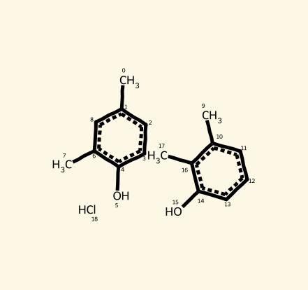 Cc1ccc(O)c(C)c1.Cc1cccc(O)c1C.Cl